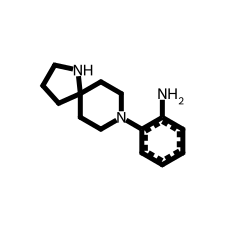 Nc1ccccc1N1CCC2(CCCN2)CC1